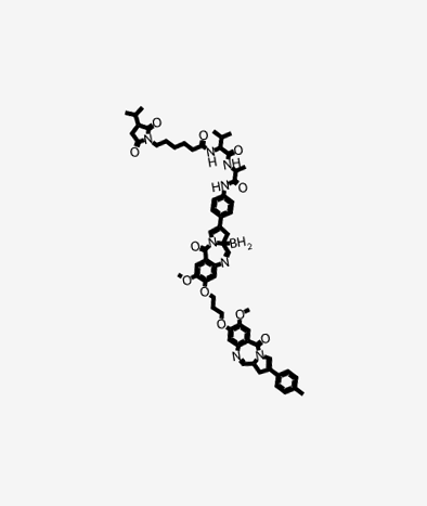 BC12C=Nc3cc(OCCCOc4cc5c(cc4OC)C(=O)N4C=C(c6ccc(C)cc6)CC4C=N5)c(OC)cc3C(=O)N1C=C(c1ccc(NC(=O)C(C)NC(=O)C(NC(=O)CCCCCN3C(=O)CC(C(C)C)C3=O)C(C)C)cc1)C2